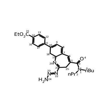 CCCCN(CCC)C(=O)C1=CC2=CC=C(c3ccc(C(=O)OCC)cc3)CC2N=C(N=NN)C1